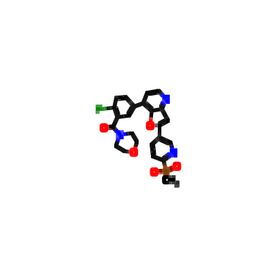 CS(=O)(=O)c1ccc(-c2cc3nccc(-c4ccc(F)c(C(=O)N5CCOCC5)c4)c3o2)cn1